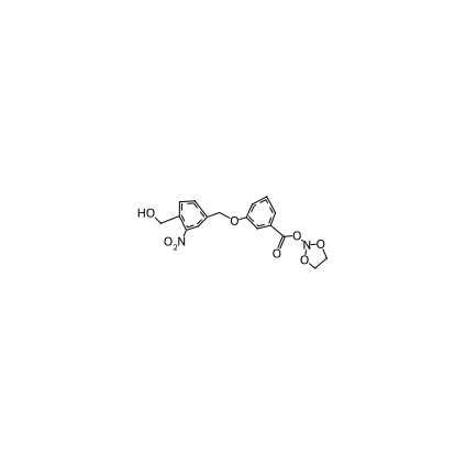 O=C(ON1OCCO1)c1cccc(OCc2ccc(CO)c([N+](=O)[O-])c2)c1